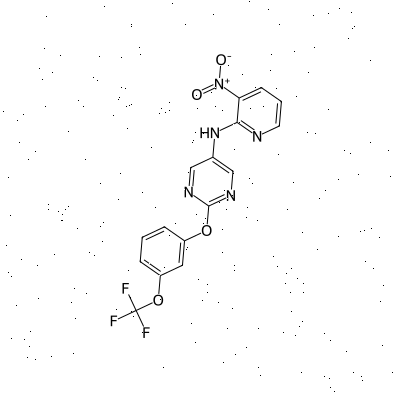 O=[N+]([O-])c1cccnc1Nc1cnc(Oc2cccc(OC(F)(F)F)c2)nc1